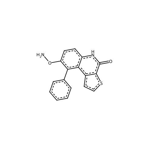 NOc1ccc2[nH]c(=O)c3sccc3c2c1-c1ccccc1